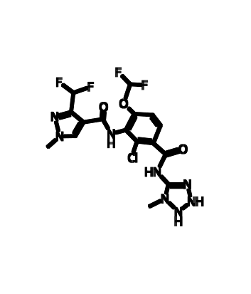 CN1NNN=C1NC(=O)c1ccc(OC(F)F)c(NC(=O)c2cn(C)nc2C(F)F)c1Cl